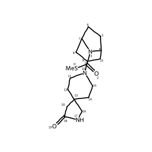 CSC(=O)N1C2CCC1CC(N1CCC3(CC1)CNC(=O)C3)C2